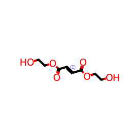 O=C(/C=C/C(=O)OCCO)OCCO